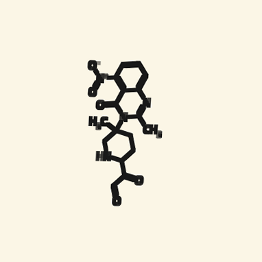 Cc1nc2cccc([N+](=O)[O-])c2c(=O)n1C1(C)CCC(C(=O)C=O)NC1